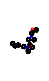 c1ccc(-c2ccccc2N(c2ccc(-c3ccc4c(ccc5ccccc54)c3)cc2)c2cccc(-c3cccc4c3c3ccccc3n4-c3ccc4oc5ccccc5c4c3)c2)cc1